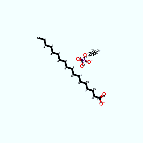 CCCCCCCCCCCCCCCCCC(=O)[O-].O=P([O-])([O-])[O-].[Zn+2].[Zn+2]